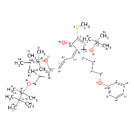 CSC1=CC(CCCCOc2ccccc2)(O[Si](C)(C)C)C(=C/C=C/C(CCCO[Si](C)(C)C(C)(C)C)O[Si](C)(C)C(C)(C)C)C1=O